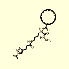 CC(C)n1cc(CCC(=O)NCCCC[C@H](NC(=O)c2ccccccccccccc2)C(=O)NN)nn1